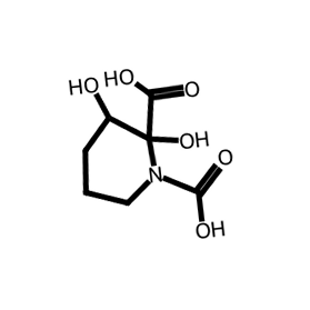 O=C(O)N1CCCC(O)C1(O)C(=O)O